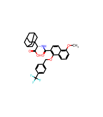 COc1cccc2c(OCc3ccc(C(F)(F)F)cc3)c(C(=O)N[C@H](C(=O)O)C34CC5CC(CC(C5)C3)C4)ccc12